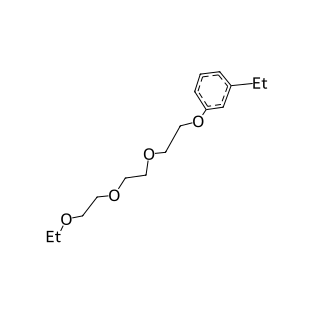 CCOCCOCCOCCOc1cccc(CC)c1